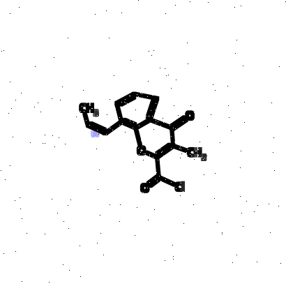 C/C=C\c1cccc2c(=O)c(C)c(C(=O)Cl)oc12